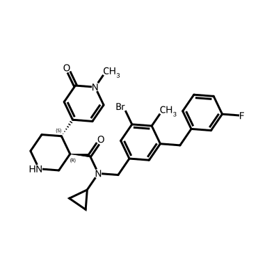 Cc1c(Br)cc(CN(C(=O)[C@H]2CNCC[C@@H]2c2ccn(C)c(=O)c2)C2CC2)cc1Cc1cccc(F)c1